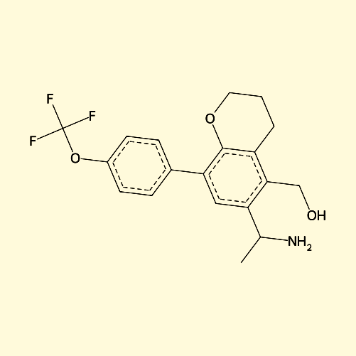 CC(N)c1cc(-c2ccc(OC(F)(F)F)cc2)c2c(c1CO)CCCO2